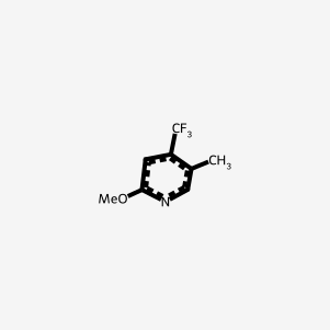 COc1cc(C(F)(F)F)c(C)cn1